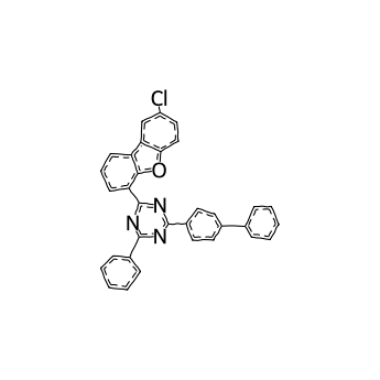 Clc1ccc2oc3c(-c4nc(-c5ccccc5)nc(-c5ccc(-c6ccccc6)cc5)n4)cccc3c2c1